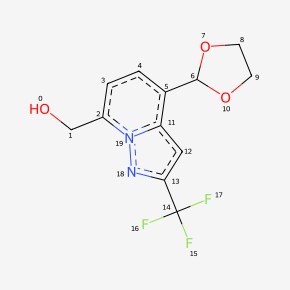 OCc1ccc(C2OCCO2)c2cc(C(F)(F)F)nn12